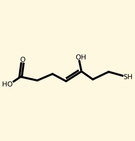 O=C(O)CCC=C(O)CCS